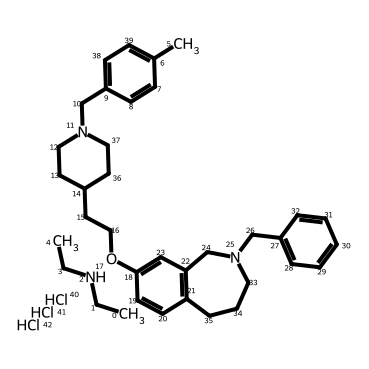 CCNCC.Cc1ccc(CN2CCC(CCOc3ccc4c(c3)CN(Cc3ccccc3)CCC4)CC2)cc1.Cl.Cl.Cl